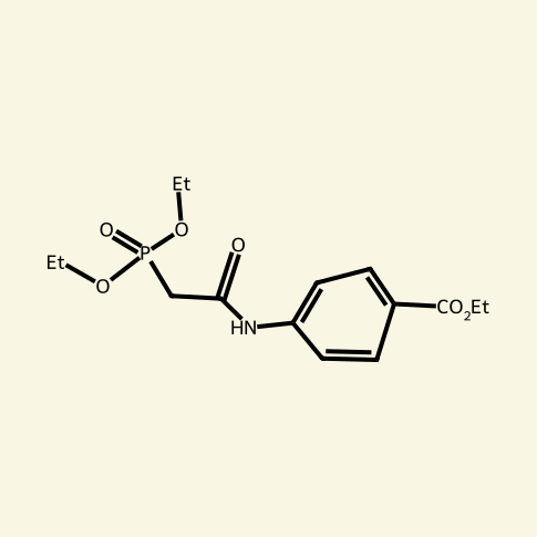 CCOC(=O)c1ccc(NC(=O)CP(=O)(OCC)OCC)cc1